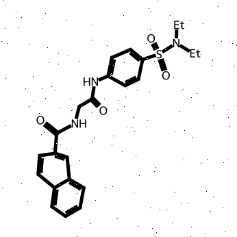 CCN(CC)S(=O)(=O)c1ccc(NC(=O)CNC(=O)c2ccc3ccccc3c2)cc1